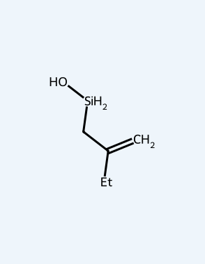 C=C(CC)C[SiH2]O